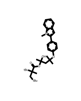 Cn1c(-c2ccc(OC(C)(C)CC(C)(O)OC(=O)C(C)(CC(C)(C)C)C(C)(C)C)cc2)cc2ccccc21